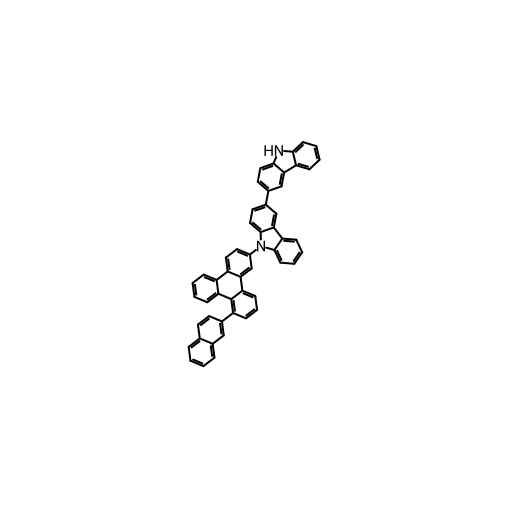 c1ccc2cc(-c3cccc4c5cc(-n6c7ccccc7c7cc(-c8ccc9[nH]c%10ccccc%10c9c8)ccc76)ccc5c5ccccc5c34)ccc2c1